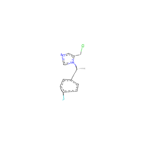 C[C@H](c1ccc(F)cc1)n1cncc1CCl